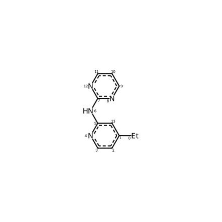 CCc1ccnc(Nc2ncccn2)c1